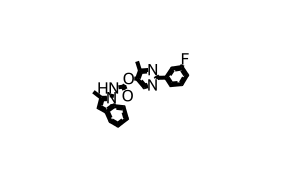 Cc1nc(-c2cccc(F)c2)ncc1OC(=O)Nn1c(C)cc2ccccc21